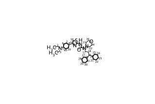 CCN(CC)c1ccc(-c2csc(NC(=O)N(CCC(c3ccccc3)c3ccccc3)N3CCOCC3)n2)cc1